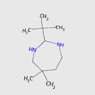 CC1(C)CCNC(C(C)(C)C)NC1